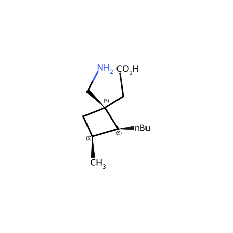 CCCC[C@H]1[C@@H](C)C[C@]1(CN)CC(=O)O